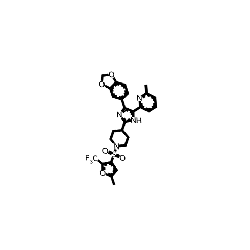 Cc1cccc(-c2[nH]c(C3CCN(S(=O)(=O)c4cc(C)oc4C(F)(F)F)CC3)nc2-c2ccc3c(c2)OCO3)n1